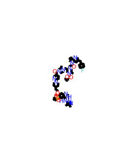 Cc1n[nH]c(Nc2ncnc3cc(OCCC4CCN(c5ccc(C(=O)N6CCN(CC7CN(C(=O)OC(C)(C)C)C(C)CN7CC(=O)N7CC(C)(C)c8ncc(Cc9ccc(F)cc9)cc87)C(C)C6)cn5)CC4)c(S(=O)(=O)C(C)(C)C)cc23)c1C